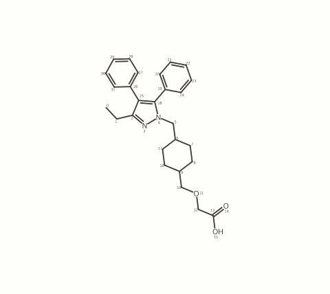 CCc1nn(CC2CCC(COCC(=O)O)CC2)c(-c2ccccc2)c1-c1ccccc1